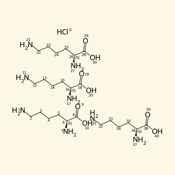 Cl.NCCCC[C@H](N)C(=O)O.NCCCC[C@H](N)C(=O)O.NCCCC[C@H](N)C(=O)O.NCCCC[C@H](N)C(=O)O